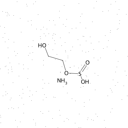 N.O=S(O)OCCO